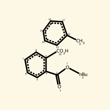 CCCCOC(=O)c1ccccc1C(=O)O.Cc1ccccc1